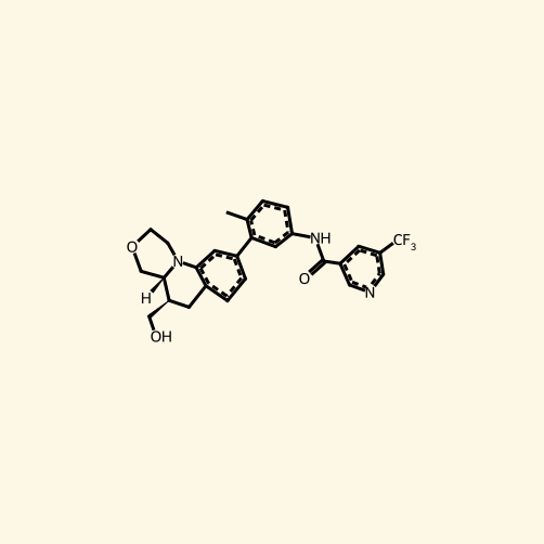 Cc1ccc(NC(=O)c2cncc(C(F)(F)F)c2)cc1-c1ccc2c(c1)N1CCOC[C@H]1[C@H](CO)C2